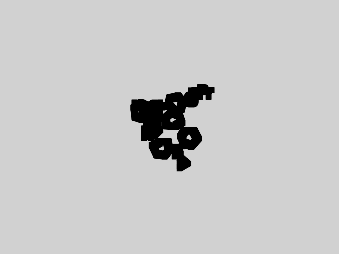 CCCOc1ccc([SiH2]C(c2ccccc2)(c2ccccc2)n2ccnc2)cc1.c1ccc(B(c2ccccc2)C2CC2)cc1